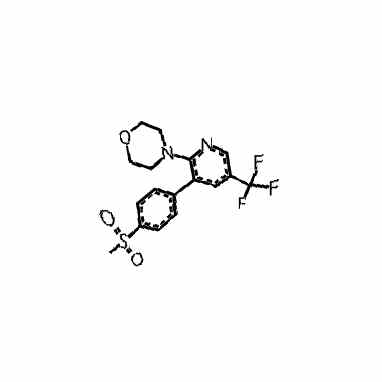 CS(=O)(=O)c1ccc(-c2cc(C(F)(F)F)cnc2N2CCOCC2)cc1